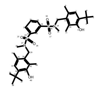 Cc1cc(C(C)(C)C)c(O)c(C)c1CN(C)S(=O)(=O)c1cccc(S(=O)(=O)N(C)Cc2c(C)cc(C(C)(C)C)c(O)c2C)c1